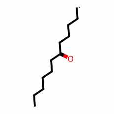 [CH2]CCCCC(=O)CCCCCC